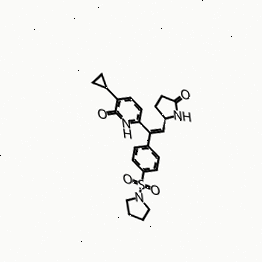 O=C1CC[C@H](/C=C(/c2ccc(S(=O)(=O)N3CCCC3)cc2)c2ccc(C3CC3)c(=O)[nH]2)N1